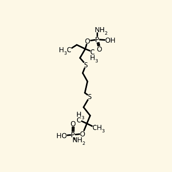 CCC(C)(CSCCCSCCC(C)(C)OP(N)(=O)O)OP(N)(=O)O